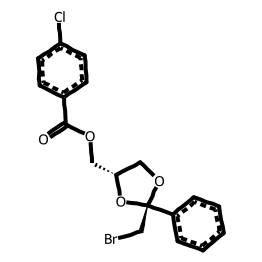 O=C(OC[C@@H]1CO[C@](CBr)(c2ccccc2)O1)c1ccc(Cl)cc1